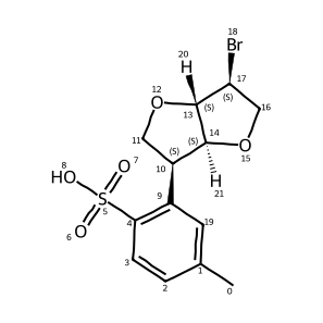 Cc1ccc(S(=O)(=O)O)c([C@H]2CO[C@H]3[C@H]2OC[C@@H]3Br)c1